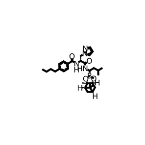 CCCCc1ccc(C(=O)N[C@@H](Cn2cccn2)C(=O)NC(CC(C)C)B2O[C@@H]3C[C@@H]4C[C@@H](C4(C)C)[C@]3(C)O2)cc1